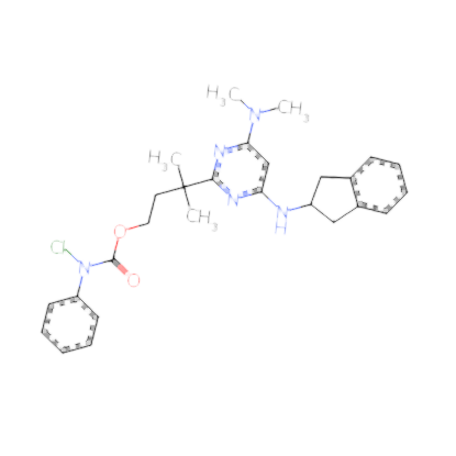 CN(C)c1cc(NC2Cc3ccccc3C2)nc(C(C)(C)CCOC(=O)N(Cl)c2ccccc2)n1